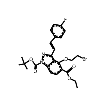 CCOC(=O)c1ccc2c(c(C=Cc3ccc(F)cc3)nn2C(=O)OC(C)(C)C)c1OCCBr